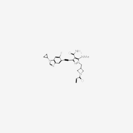 C=CC(=O)N1CC(Cn2nc(C#Cc3cc4ncn(C5CC5)c4cc3F)c(C(N)=O)c2NC)C1